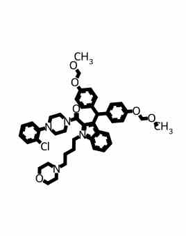 COCOc1ccc(C(c2ccc(OCOC)cc2)c2c(C(=O)N3CCN(c4ccccc4Cl)CC3)n(CCCCN3CCOCC3)c3ccccc23)cc1